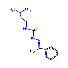 C/C(=N\NC(=S)NCCN(C)C)c1ccccn1